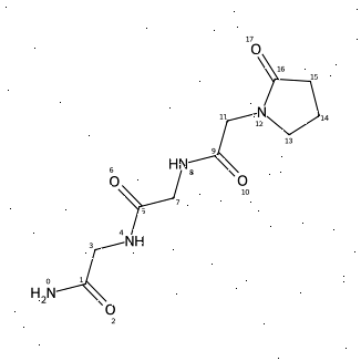 NC(=O)CNC(=O)CNC(=O)CN1CCCC1=O